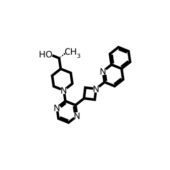 C[C@@H](O)C1CCN(c2nccnc2C2CN(c3ccc4ccccc4n3)C2)CC1